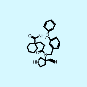 N#CC1(N(Cc2cccc(Oc3ccccc3)c2)C(=O)[CH]CC2(C(N)=O)CCCCC2)CCNC1